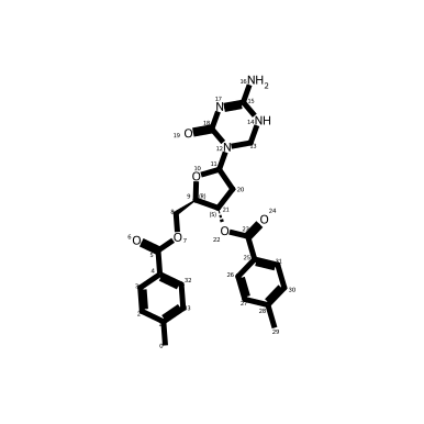 Cc1ccc(C(=O)OC[C@H]2OC(N3CNC(N)=NC3=O)C[C@@H]2OC(=O)c2ccc(C)cc2)cc1